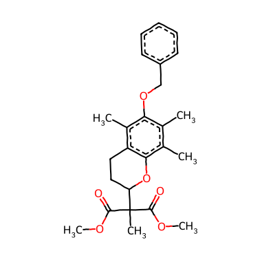 COC(=O)C(C)(C(=O)OC)C1CCc2c(C)c(OCc3ccccc3)c(C)c(C)c2O1